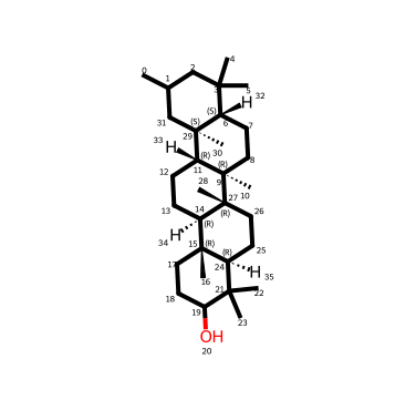 CC1CC(C)(C)[C@@H]2CC[C@]3(C)[C@H](CC[C@@H]4[C@@]5(C)CCC(O)C(C)(C)[C@@H]5CC[C@]43C)[C@@]2(C)C1